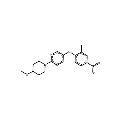 COC1CCN(c2ncc(Oc3ccc([N+](=O)[O-])cc3C)cn2)CC1